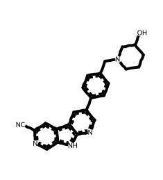 N#Cc1cc2c(cn1)[nH]c1ncc(-c3ccc(CN4CCCC(O)C4)cc3)cc12